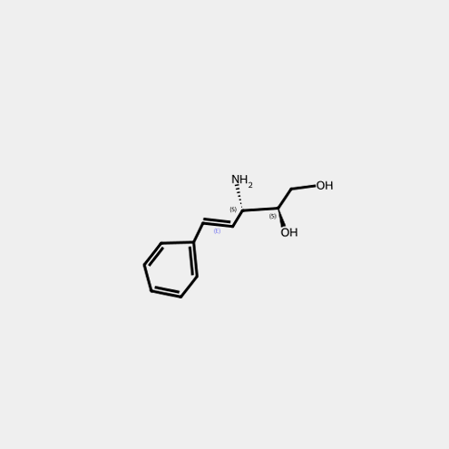 N[C@@H](/C=C/c1ccccc1)[C@H](O)CO